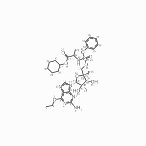 CCOc1nc(N)nc2c1ncn2[C@@H]1O[C@](F)(COP(=O)(NC(C)C(=O)OC2CCCCC2)Oc2ccccc2)[C@@H](O)[C@@]1(C)O